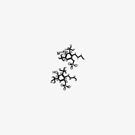 CCCCc1c(CP(=O)([O-])[O-])cc(C(C)(C)C)c(O)c1C(C)(C)C.CCCCc1c(CP(=O)([O-])[O-])cc(C(C)(C)C)c(O)c1C(C)(C)C.[Ni+4]